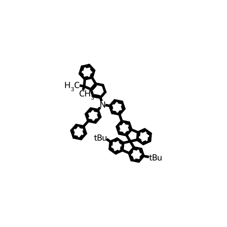 CC(C)(C)c1ccc2c(c1)C1(c3ccccc3-c3cc(-c4cccc(N(C5=CC6=C(CC5)c5ccccc5C6(C)C)c5ccc(-c6ccccc6)cc5)c4)ccc31)c1cc(C(C)(C)C)ccc1-2